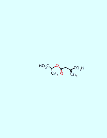 C=C(CC(=O)OC(C)C(=O)O)C(=O)O